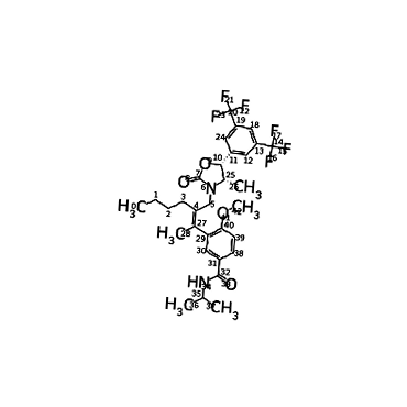 CCCC/C(CN1C(=O)O[C@H](c2cc(C(F)(F)F)cc(C(F)(F)F)c2)[C@@H]1C)=C(\C)c1cc(C(=O)NC(C)C)ccc1OC